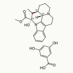 CC[C@]12CCCN3CCc4c(n(c5ccccc45)[C@@](O)(C(=O)OC)C1)[C@@H]32.O=C(O)c1cc(O)cc(O)c1